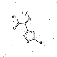 C/N=C(\C(=O)C(C)(C)C)c1nsc(N)n1